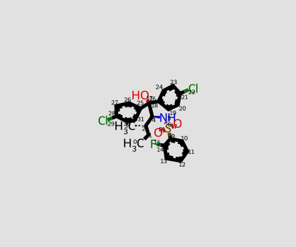 CC[C@H](C)[C@H](NS(=O)(=O)c1ccccc1F)C(O)(c1ccc(Cl)cc1)c1ccc(Cl)cc1